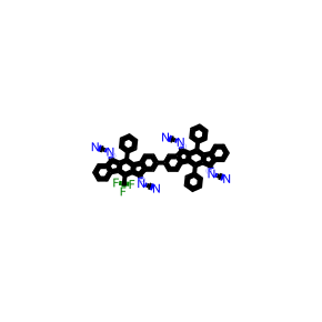 N#C/N=c1\c2ccccc2c2c(-c3ccccc3)c3/c(=N/C#N)c4cc(-c5ccc6c(c5)/c(=N\C#N)c5c(C(F)(F)F)c7c(c(-c8ccccc8)c56)/c(=N/C#N)c5ccccc57)ccc4c3c(-c3ccccc3)c12